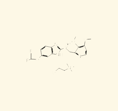 COc1ccnc(C[S@+]([O-])c2nc3ccc(OC(F)F)cc3[nH]2)c1OC.C[N+](C)(C)CCO